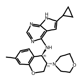 Cc1ccc2c(c1)OC[C@@H](N1CCOCC1)[C@@H]2Nc1ncnc2[nH]c(C3CC3)cc12